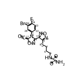 NS(=O)(=O)NCCCSc1nonc1C1=NOC(=C=O)N1c1ccc(F)c(Br)c1